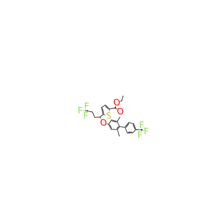 CCOC(=O)c1ccc(C(CCC(F)(F)F)Oc2cc(C)c(-c3ccc(C(F)(F)F)cc3)c(C)c2)s1